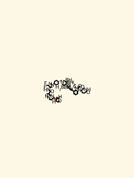 BC1(B)CN(C[C@H]2CC[C@H](n3cc(NC(=O)c4cnn5ccc(N6C[C@H]7C[C@@H]6CO7)nc45)c(C(F)F)n3)CC2)CC(B)(B)C1OCC#Cc1cccc2c1n(C)c(=O)n2C1CCC(=O)NC1=O